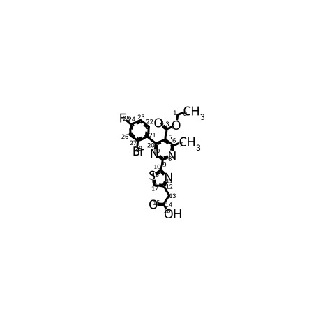 CCOC(=O)c1c(C)nc(-c2nc(CC(=O)O)cs2)nc1-c1ccc(F)cc1Br